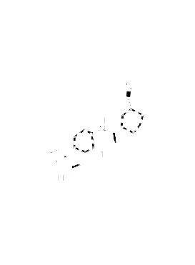 N#Cc1cccc(C(=O)Nc2ccc(C3(C(=O)O)CCC3)cc2F)c1